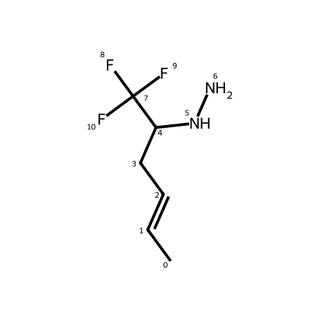 CC=CCC(NN)C(F)(F)F